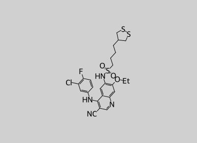 CCOc1cc2ncc(C#N)c(Nc3ccc(F)c(Cl)c3)c2cc1NS(=O)(=O)CCCCC1CSSC1